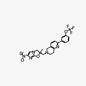 C[C@]1(CN2CCc3nc(-c4cccc(OC(F)(F)F)c4)ccc3C2)Cn2cc([N+](=O)[O-])nc2O1